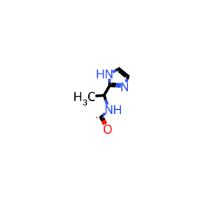 CC(N[C]=O)c1ncc[nH]1